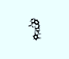 CN(C)c1ncnc2ccc(C=C3SC(Nc4c(Cl)cccc4Cl)=NC3=O)cc12